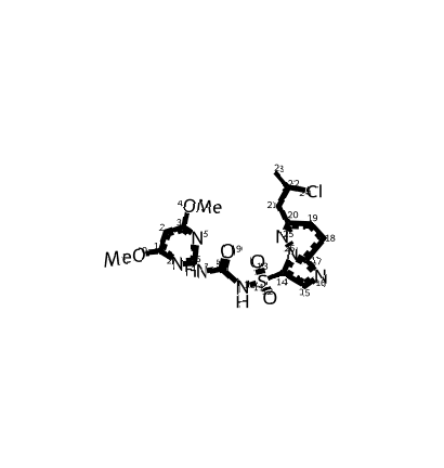 COc1cc(OC)nc(NC(=O)NS(=O)(=O)c2cnc3ccc(CC(C)Cl)nn23)n1